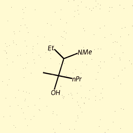 CCCC(C)(O)C(CC)NC